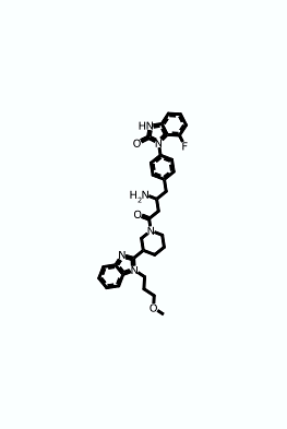 COCCCn1c(C2CCCN(C(=O)CC(N)Cc3ccc(-n4c(=O)[nH]c5cccc(F)c54)cc3)C2)nc2ccccc21